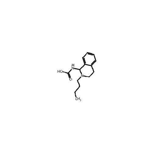 CCCCN1CCc2ccccc2C1NC(=O)O